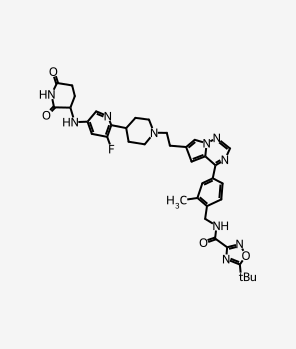 Cc1cc(-c2ncnn3cc(CCN4CCC(c5ncc(NC6CCC(=O)NC6=O)cc5F)CC4)cc23)ccc1CNC(=O)c1noc(C(C)(C)C)n1